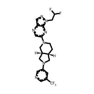 FC(F)Cn1ncc2ncc(N3CC[C@@H]4CN(c5cncc(C(F)(F)F)c5)C[C@@H]4C3)nc21